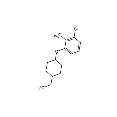 Cc1c(Br)cccc1OC1CCC(CO)CC1